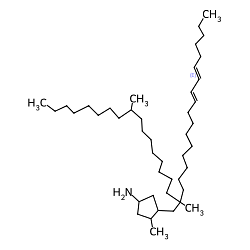 CCCCC/C=C/C=CCCCCCCCCC(C)(CCCCCCCCC(C)CCCCCCCC)CC1CC(N)CC1C